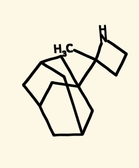 CC1(C23CC4CC(CC(C4)C2)C3)CCN1